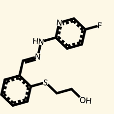 OCCSc1ccccc1/C=N/Nc1ccc(F)cn1